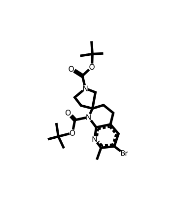 Cc1nc2c(cc1Br)CCC1(CCN(C(=O)OC(C)(C)C)C1)N2C(=O)OC(C)(C)C